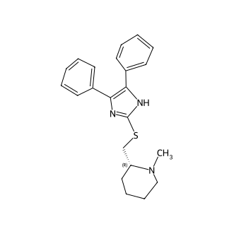 CN1CCCC[C@@H]1CSc1nc(-c2ccccc2)c(-c2ccccc2)[nH]1